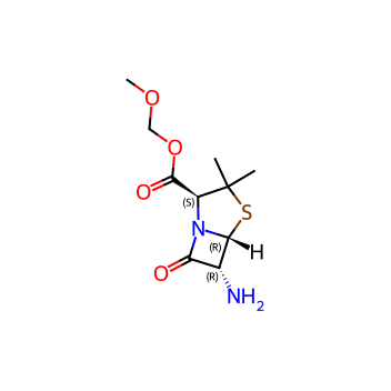 COCOC(=O)[C@@H]1N2C(=O)[C@@H](N)[C@H]2SC1(C)C